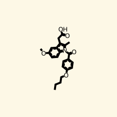 CCCCOc1ccc(C(=O)n2c(C)c(CC(=O)O)c3cc(OC)ccc32)cc1